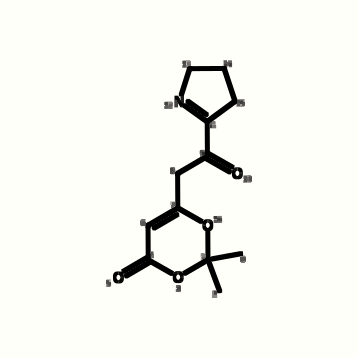 CC1(C)OC(=O)C=C(CC(=O)C2=NCCC2)O1